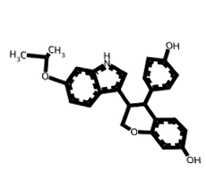 CC(C)Oc1ccc2c(C3COc4cc(O)ccc4C3c3ccc(O)cc3)c[nH]c2c1